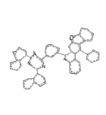 c1ccc(-c2c3c(cc4c(-c5cccc(-c6nc(-c7cccc8ccccc78)nc(-c7cccc8ccccc78)n6)c5)nc5ccccc5c24)oc2ccccc23)cc1